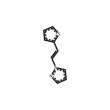 C(=Cn1cccn1)c1cccs1